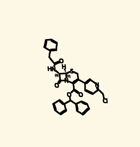 O=C(Cc1ccccc1)N[C@@H]1C(=O)N2C(C(=O)OC(c3ccccc3)c3ccccc3)=C(c3ccc(CCl)nc3)CS[C@H]12